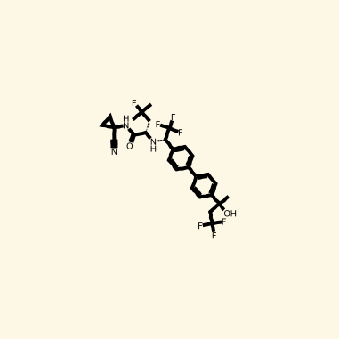 CC(C)(F)C[C@H](N[C@@H](c1ccc(-c2ccc(C(C)(O)CC(F)(F)F)cc2)cc1)C(F)(F)F)C(=O)NC1(C#N)CC1